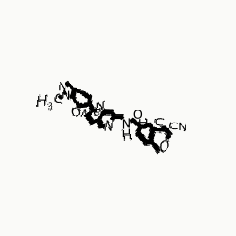 COc1c(-c2ccc3cnc(CNC(=O)c4ccc5c(c4)[C@](C)(C#N)COC5)cc3n2)ccc2cnn(C)c12